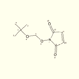 CC(C)(C)OCON1C(=O)C=CC1=O